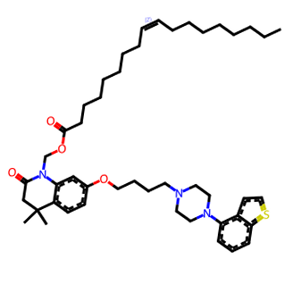 CCCCCCCC/C=C\CCCCCCCC(=O)OCN1C(=O)CC(C)(C)c2ccc(OCCCCN3CCN(c4cccc5sccc45)CC3)cc21